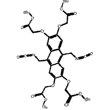 CC(C)(C)OC(=O)COc1cc2c(CN=C=O)c3cc(OCC(=O)OC(C)(C)C)c(OCC(=O)OC(C)(C)C)cc3c(CN=C=O)c2cc1OCC(=O)OC(C)(C)C